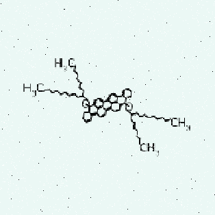 CCCCCCCCCCC(CCCCCCCC)COc1c2ccccc2c2ccc3c4ccc5c(OCC(CCCCCCCC)CCCCCCCCCC)c6ccccc6c6ccc(c7ccc1c2c73)c4c56